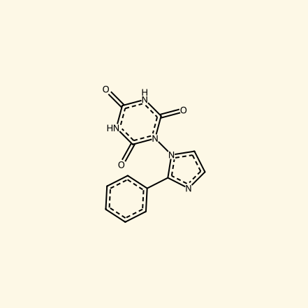 O=c1[nH]c(=O)n(-n2ccnc2-c2ccccc2)c(=O)[nH]1